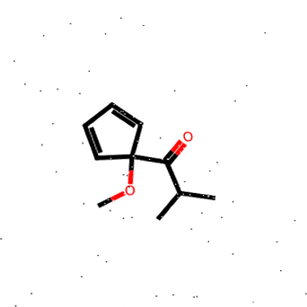 COC1(C(=O)C(C)C)C=CC=C1